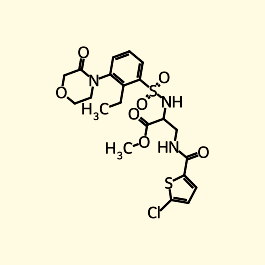 CCc1c(N2CCOCC2=O)cccc1S(=O)(=O)NC(CNC(=O)c1ccc(Cl)s1)C(=O)OC